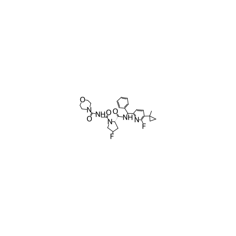 CC1(c2ccc([C@@H](NC(=O)[C@@H]3C[C@@H](F)CN3C(=O)CNC(=O)N3CCOCC3)c3ccccc3)nc2F)CC1